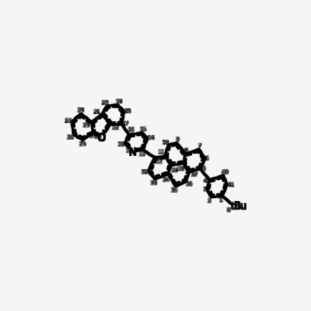 CC(C)(C)c1ccc(-c2ccc3ccc4c(-c5ccc(-c6cccc7c6oc6ccccc67)cn5)ccc5ccc2c3c54)cc1